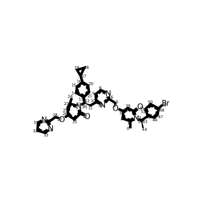 Cc1cc(OCc2nccc(C[C@H](c3ccc(C4CC4)cc3)n3c(C)cc(OCc4ncccn4)cc3=O)n2)cc(=O)n1[C@H](C)c1ccc(Br)cc1